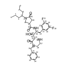 CCCC(CCC)N1CC(C(=O)N[C@@H](Cc2cc(F)cc(F)c2)[C@H](O)[C@@H]2NCCN(Cc3ccccc3)C2=O)CC1=O